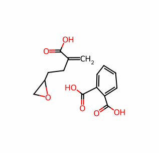 C=C(CCC1CO1)C(=O)O.O=C(O)c1ccccc1C(=O)O